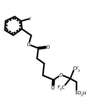 O=C(CCCC(=O)OC(CS(=O)(=O)O)(C(F)(F)F)C(F)(F)F)OCc1ccccc1I